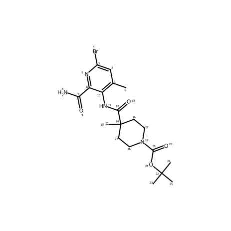 Cc1cc(Br)nc(C(N)=O)c1NC(=O)C1(F)CCN(C(=O)OC(C)(C)C)CC1